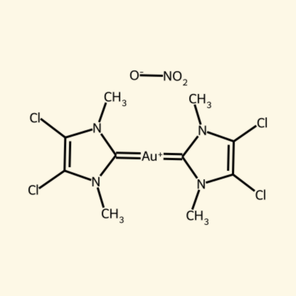 Cn1c(Cl)c(Cl)n(C)[c]1=[Au+]=[c]1n(C)c(Cl)c(Cl)n1C.O=[N+]([O-])[O-]